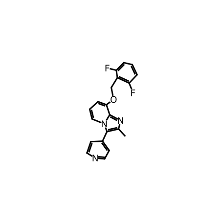 Cc1nc2c(OCc3c(F)cccc3F)cccn2c1-c1ccncc1